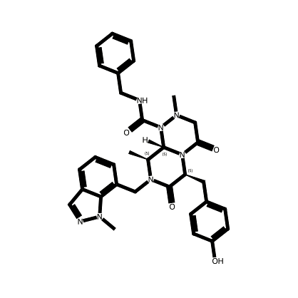 C[C@H]1[C@H]2N(C(=O)CN(C)N2C(=O)NCc2ccccc2)[C@@H](Cc2ccc(O)cc2)C(=O)N1Cc1cccc2cnn(C)c12